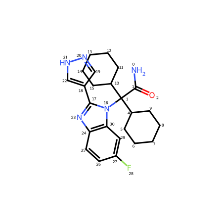 NC(=O)C(C1CCCCC1)(C1CCCCC1)n1c(-c2cn[nH]c2)nc2ccc(F)cc21